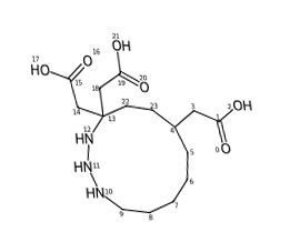 O=C(O)CC1CCCCCNNNC(CC(=O)O)(CC(=O)O)CC1